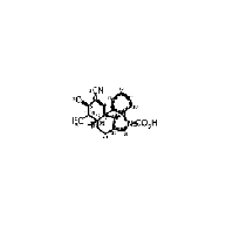 C[C@H]1C(=O)C(C#N)=C[C@]2(c3ccccc3)c3nn(C(=O)O)cc3CC[C@H]12